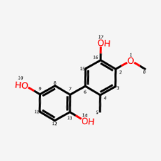 COc1cc(C)c(-c2cc(O)ccc2O)cc1O